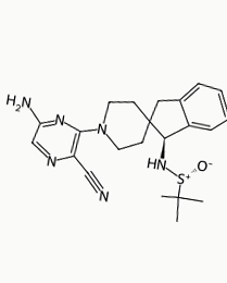 CC(C)(C)[S@@+]([O-])N[C@@H]1c2ccccc2CC12CCN(c1nc(N)cnc1C#N)CC2